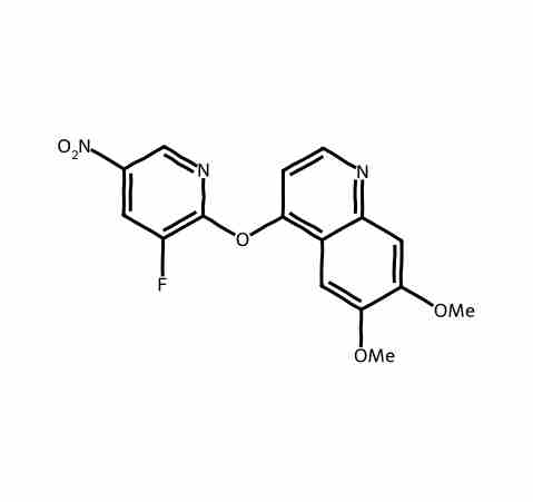 COc1cc2nccc(Oc3ncc([N+](=O)[O-])cc3F)c2cc1OC